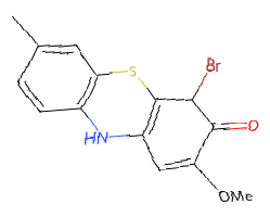 COC1=CC2=C(Sc3cc(C)ccc3N2)C(Br)C1=O